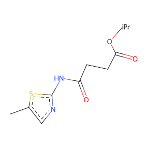 Cc1cnc(NC(=O)CCC(=O)OC(C)C)s1